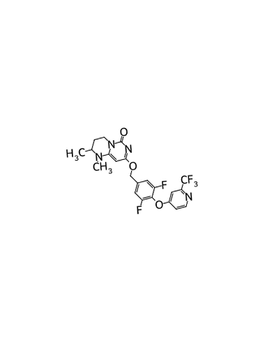 CC1CCn2c(cc(OCc3cc(F)c(Oc4ccnc(C(F)(F)F)c4)c(F)c3)nc2=O)N1C